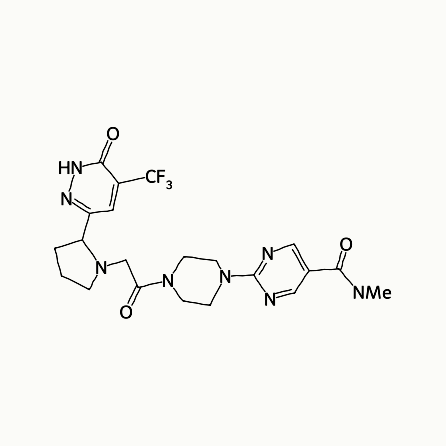 CNC(=O)c1cnc(N2CCN(C(=O)CN3CCCC3c3cc(C(F)(F)F)c(=O)[nH]n3)CC2)nc1